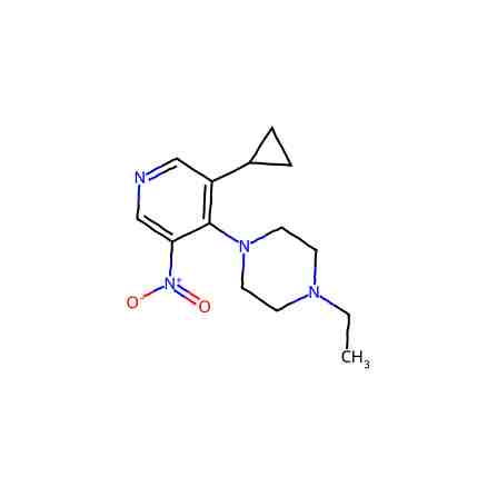 CCN1CCN(c2c(C3CC3)cncc2[N+](=O)[O-])CC1